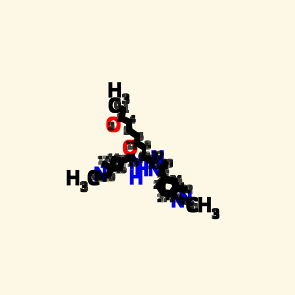 CCC(=O)CCCCC[C@H](NC(=O)C1CC2(C1)CN(C)C2)c1ncc(-c2ccc3nn(C)cc3c2)[nH]1